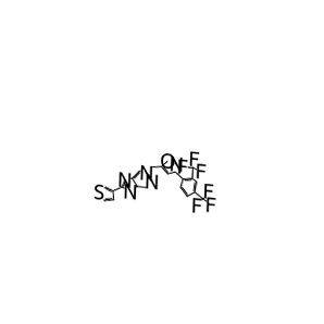 FC(F)(F)c1ccc(-c2cc(Cn3cc4nc(-c5ccsc5)nc-4cn3)on2)c(C(F)(F)F)c1